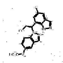 CC(C)CC(c1cc(Cl)cc2cn[nH]c12)n1ncc2cc(OC(=O)O)ccc21